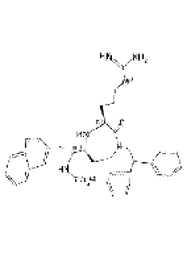 N=C(N)NCCC[C@@H]1N[C@H]([C@@H](Cc2ccc3ccccc3c2)NC(=O)O)CCN(CC(c2ccccc2)c2ccccc2)C1=O